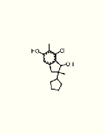 Cc1c(O)cc2c(c1Cl)C(O)C(C)(C1CCCC1)C2